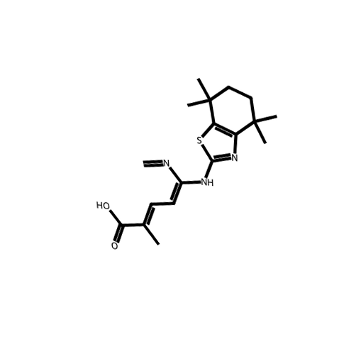 C=N/C(=C\C=C(/C)C(=O)O)Nc1nc2c(s1)C(C)(C)CCC2(C)C